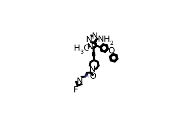 Cn1c(C#CC2CCCN(C(=O)/C=C/CN3CC(F)C3)CC2)c(-c2ccc(Oc3ccccc3)cc2)c2c(N)ncnc21